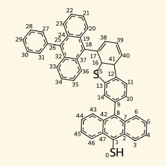 Sc1c2ccccc2c(-c2ccc3c(c2)SC2C(c4c5ccccc5c(-c5ccccc5)c5ccccc45)=CC=CC32)c2ccccc12